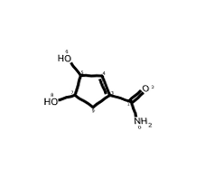 NC(=O)C1=CC(O)C(O)C1